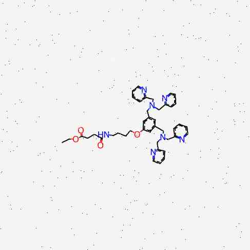 CCOC(=O)CCC(=O)NCCCCOc1cc(CN(Cc2ccccn2)Cc2ccccn2)cc(CN(Cc2ccccn2)Cc2ccccn2)c1